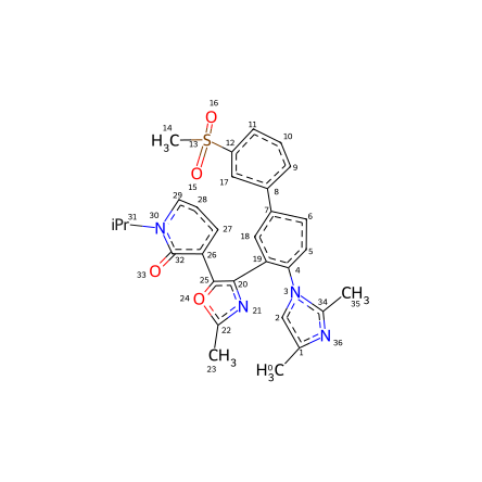 Cc1cn(-c2ccc(-c3cccc(S(C)(=O)=O)c3)cc2-c2nc(C)oc2-c2cccn(C(C)C)c2=O)c(C)n1